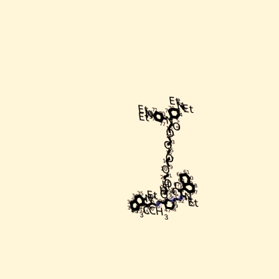 CCN(CC)c1ccc(N(C(=O)COCCOCCOCCOCCOCCOC2=C(/C=C/C3=[N+](CC)c4ccc5ccccc5c4C3(C)C)CCC/C2=C\C=C2\N(CC)c3ccc4ccccc4c3C2(C)C)c2ccc(N(CC)CC)cc2)cc1